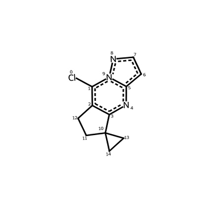 Clc1c2c(nc3ccnn13)C1(CC2)CC1